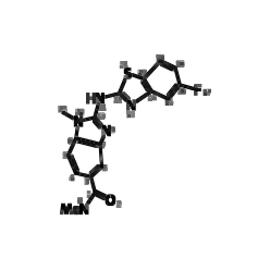 CNC(=O)c1ccc2c(c1)nc(Nc1nc3cc(F)ccc3s1)n2C